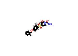 Cc1ccccc1COc1ccc(S(=O)(=O)C2CCN(C(N)=O)CC2(O)C(=O)O)cc1